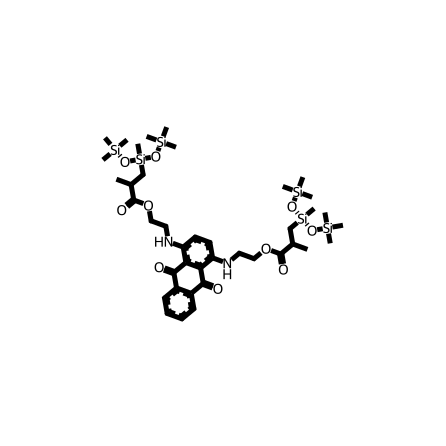 CC(C[Si](C)(O[Si](C)(C)C)O[Si](C)(C)C)C(=O)OCCNc1ccc(NCCOC(=O)C(C)C[Si](C)(O[Si](C)(C)C)O[Si](C)(C)C)c2c1C(=O)c1ccccc1C2=O